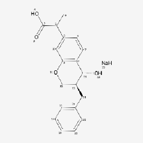 CC(C(=O)O)c1ccc2c(c1)OC[C@H](Cc1ccccc1)[C@H]2O.[NaH]